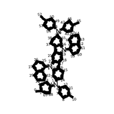 Cc1ccc(N(c2ccc(C)cc2)c2ccc3c4cc5c(cc4n(-c4cccc6ccccc46)c3c2)c2ccc(N(c3ccc(C)cc3)c3ccc(C)cc3)cc2n5-c2cccc3ccccc23)cc1